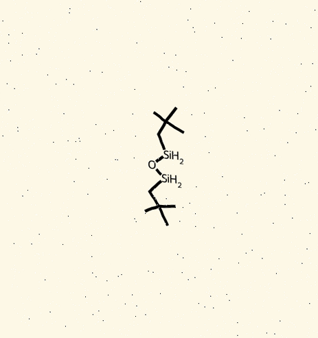 CC(C)(C)C[SiH2]O[SiH2]CC(C)(C)C